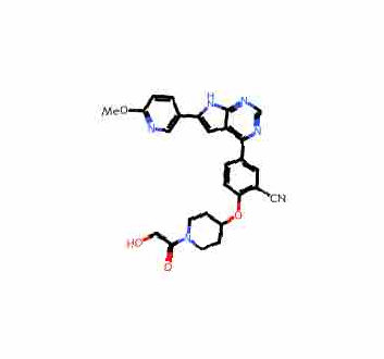 COc1ccc(-c2cc3c(-c4ccc(OC5CCN(C(=O)CO)CC5)c(C#N)c4)ncnc3[nH]2)cn1